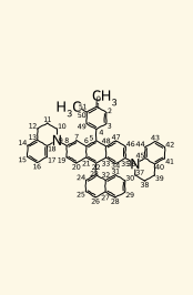 Cc1ccc(-c2c3cc(N4CCCc5ccccc54)ccc3c(-c3cccc4ccccc34)c3cc(N4CCCc5ccccc54)ccc23)cc1C